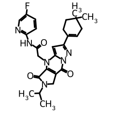 CC(C)N1Cc2c(n(CC(=O)Nc3ccc(F)cn3)c3cc(C4=CCC(C)(C)CC4)nn3c2=O)C1=O